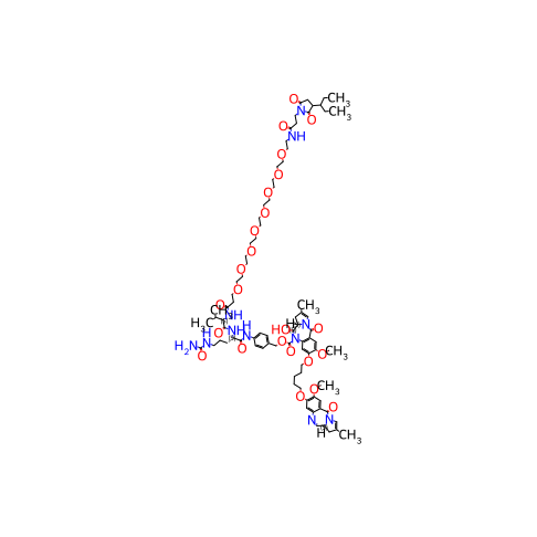 CCC(CC)C1CC(=O)N(CCC(=O)NCCOCCOCCOCCOCCOCCOCCOCCOCCC(=O)N[C@H](C(=O)N[C@@H](CCCNC(N)=O)C(=O)Nc2ccc(COC(=O)N3c4cc(OCCCCCOc5cc6c(cc5OC)C(=O)N5C=C(C)C[C@H]5C=N6)c(OC)cc4C(=O)N4C=C(C)C[C@H]4[C@@H]3O)cc2)C(C)C)C1=O